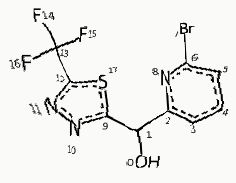 OC(c1cccc(Br)n1)c1nnc(C(F)(F)F)s1